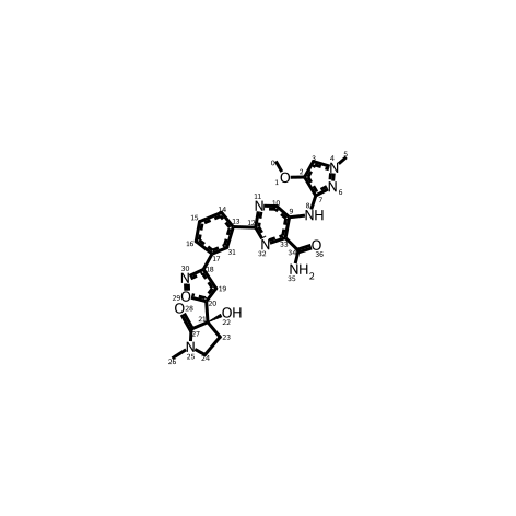 COc1cn(C)nc1Nc1cnc(-c2cccc(-c3cc([C@]4(O)CCN(C)C4=O)on3)c2)nc1C(N)=O